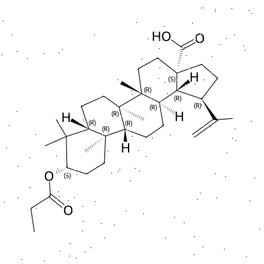 C=C(C)[C@@H]1CC[C@]2(C(=O)O)CC[C@]3(C)[C@H](CC[C@@H]4[C@@]5(C)CC[C@H](OC(=O)CC)C(C)(C)[C@@H]5CC[C@]43C)[C@@H]12